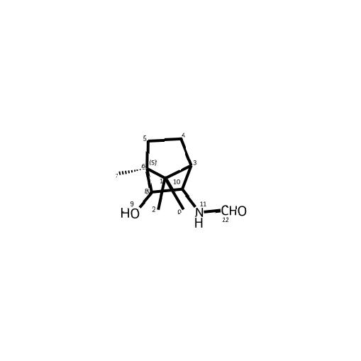 CC1(C)C2CC[C@]1(C)C(O)C2NC=O